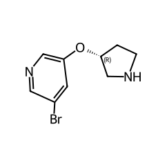 Brc1cncc(O[C@@H]2CCNC2)c1